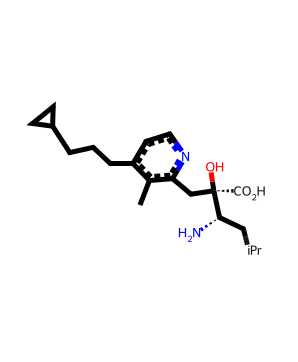 Cc1c(CCCC2CC2)ccnc1C[C@](O)(C(=O)O)[C@@H](N)CC(C)C